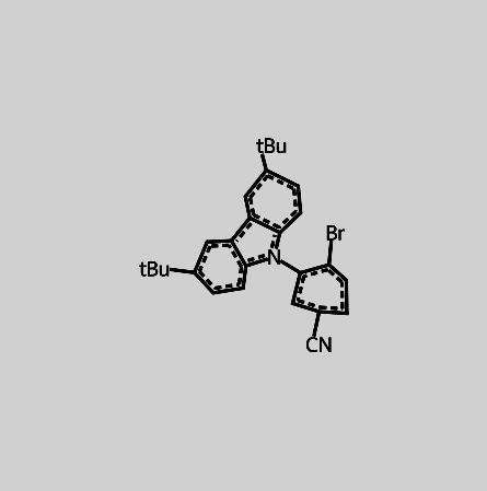 CC(C)(C)c1ccc2c(c1)c1cc(C(C)(C)C)ccc1n2-c1cc(C#N)ccc1Br